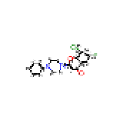 O=c1cc(N2CCN(c3ccccc3)CC2)oc2c(Cl)cc(F)cc12